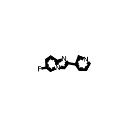 Fc1ccc2nc(-c3cccnc3)cn2c1